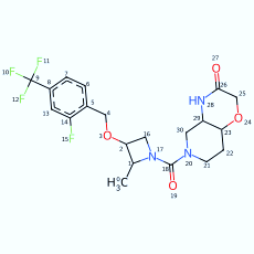 CC1C(OCc2ccc(C(F)(F)F)cc2F)CN1C(=O)N1CCC2OCC(=O)NC2C1